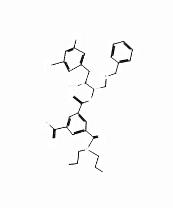 CCCN(CCC)C(=O)c1cc(C(N)=O)cc(C(=O)O[C@H](CNCc2ccccc2)[C@@H](N)Cc2cc(Cl)cc(Cl)c2)c1